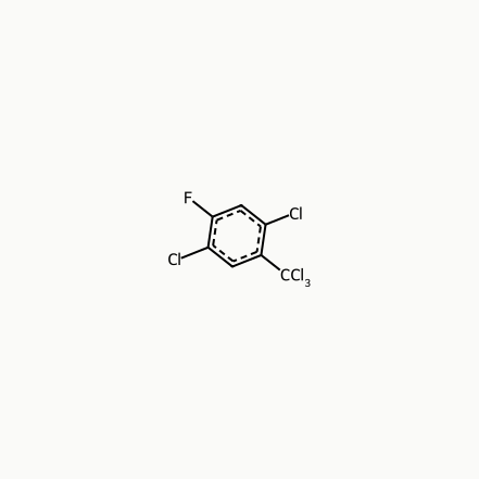 Fc1cc(Cl)c(C(Cl)(Cl)Cl)cc1Cl